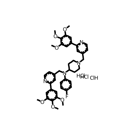 COc1cc(-c2cc(CN3CCC(N(Cc4ccnc(-c5cc(OC)c(OC)c(OC)c5)c4)c4ccc(F)cc4)CC3)ccn2)cc(OC)c1OC.Cl.Cl.Cl